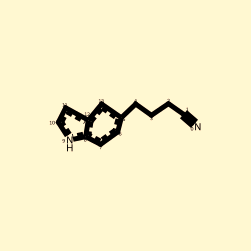 N#CCCCc1ccc2[nH]ccc2c1